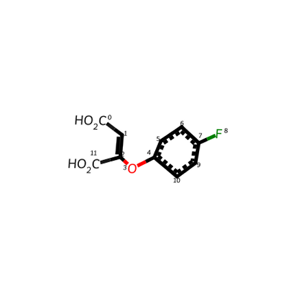 O=C(O)C=C(Oc1ccc(F)cc1)C(=O)O